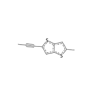 CC#Cc1cc2sc(C)cc2s1